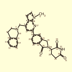 Cn1ccc2c(CN3CCc4ccccc4C3)cc(-c3ccc4c(c3)CN(C3CCC(=O)NC3=O)C4=O)nc21